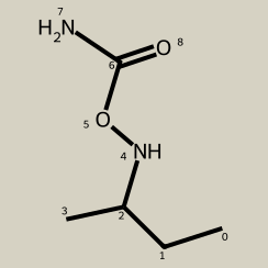 CCC(C)NOC(N)=O